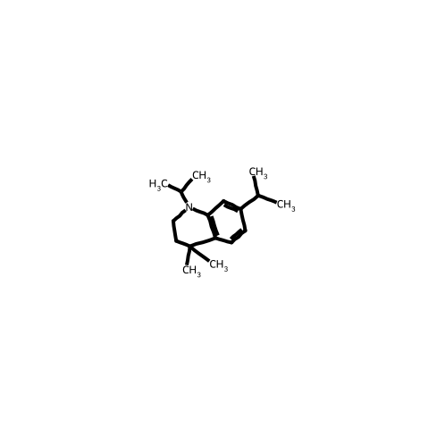 CC(C)c1ccc2c(c1)N(C(C)C)CCC2(C)C